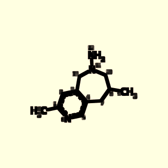 Cc1cc2c(cn1)CC(C)CN(N)C2